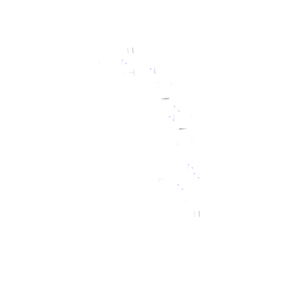 CCN(CC[N+](C)(C)C)c1ccc(N=Nc2ccc(C=NN=c3sc(C)c(C)n3C)cc2)cc1.[Br-]